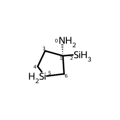 N[C@@]1([SiH3])CC[SiH2]C1